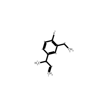 [CH2]C(C=C)c1ccc(F)c(CC)c1